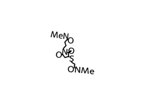 CNC(=O)CCCN1C(=O)CC(SCCC(=O)NC)C1=O